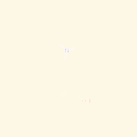 C=CCN(CC=C)C(CC)=C(C)C(=O)O